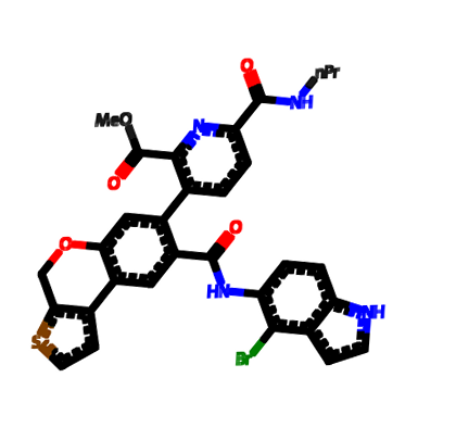 CCCNC(=O)c1ccc(-c2cc3c(cc2C(=O)Nc2ccc4[nH]ccc4c2Br)-c2ccsc2CO3)c(C(=O)OC)n1